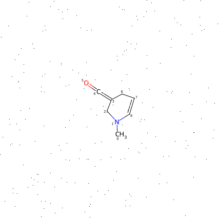 CN1[CH]C(=C=O)CC=C1